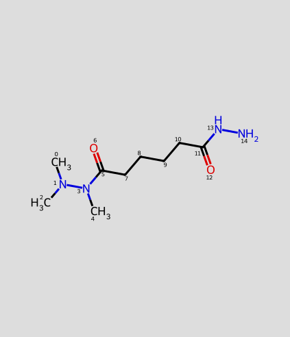 CN(C)N(C)C(=O)CCCCC(=O)NN